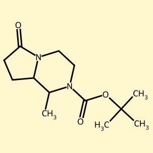 CC1C2CCC(=O)N2CCN1C(=O)OC(C)(C)C